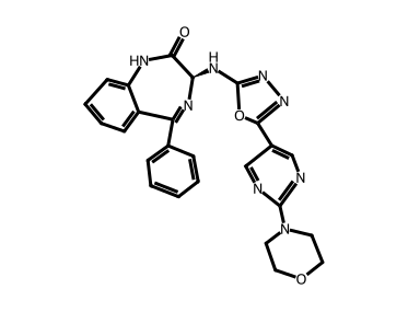 O=C1Nc2ccccc2C(c2ccccc2)=N[C@@H]1Nc1nnc(-c2cnc(N3CCOCC3)nc2)o1